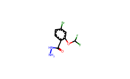 NNC(=O)c1ccc(Br)cc1OC(F)F